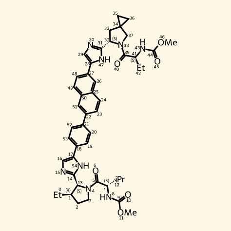 CC[C@@H]1CCN(C(=O)[C@@H](NC(=O)OC)C(C)C)[C@@H]1c1ncc(-c2ccc(-c3ccc4cc(-c5cnc([C@@H]6CC7(CC7)CN6C(=O)[C@H](CC)NC(=O)OC)[nH]5)ccc4c3)cc2)[nH]1